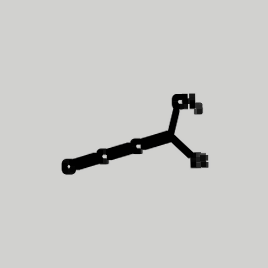 CCC(C)=C=C=O